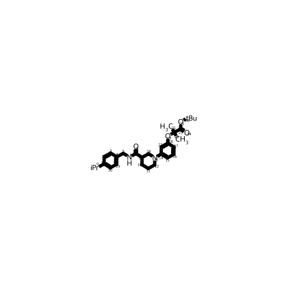 CC(C)c1ccc(CNC(=O)C2CCCN(c3cccc(OC(C)(C)C(=O)OC(C)(C)C)c3)C2)cc1